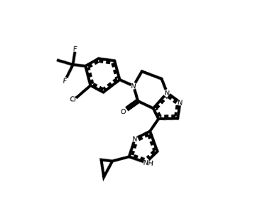 CC(F)(F)c1ccc(N2CCn3ncc(-c4c[nH]c(C5CC5)n4)c3C2=O)cc1Cl